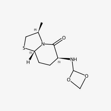 C[C@@H]1CS[C@H]2CC[C@H](NC3OCO3)C(=O)N12